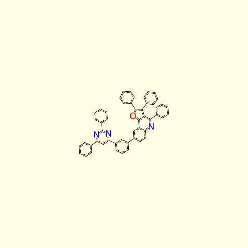 c1ccc(-c2cc(-c3cccc(-c4ccc5nc(-c6ccccc6)c6c(-c7ccccc7)c(-c7ccccc7)oc6c5c4)c3)nc(-c3ccccc3)n2)cc1